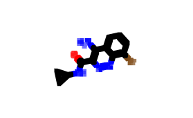 Nc1c(C(=O)NC2CC2)nnc2c(Br)cccc12